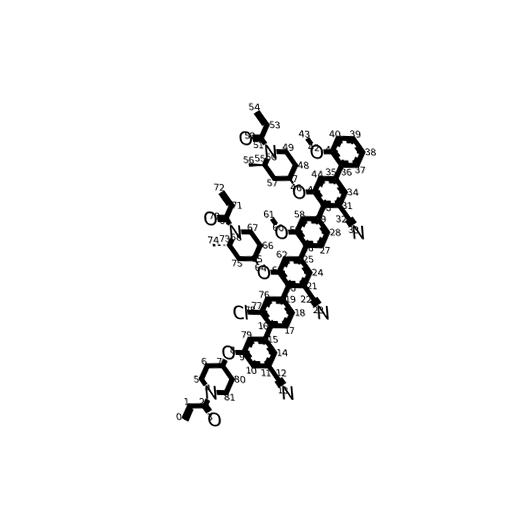 C=CC(=O)N1CCC(Oc2cc(C#N)cc(-c3ccc(-c4c(C#N)cc(-c5ccc(-c6c(C#N)cc(-c7ccccc7OC)cc6O[C@H]6CCN(C(=O)C=C)[C@H](C)C6)cc5OC)cc4O[C@H]4CCN(C(=O)C=C)[C@@H](C)C4)cc3Cl)c2)CC1